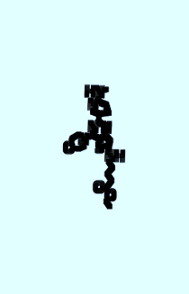 CCOC(=O)CCCCNc1cc2nc(-c3ccc(NC)nc3)nc(N3CCOCC3)c2s1